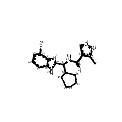 Cc1nocc1C(=O)NC(c1nc2c(F)cccc2[nH]1)C1CCCCC1